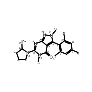 Cc1cc(C)c(-c2c3c(=O)n(C)c(N4CCCC4C(C)C)nc3nn2C)c(C)c1